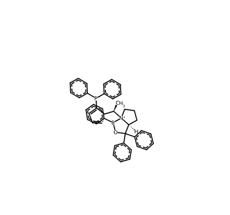 C[C@H]([C@@H]1C=CC=C1P(c1ccccc1)c1ccccc1)[N+]12CCC[C@H]1C(c1ccccc1)(c1ccccc1)OB2c1ccccc1